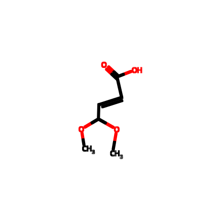 COC(/C=C/C(=O)O)OC